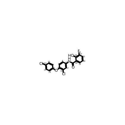 O=C(Nc1ccc(Oc2ccc(Cl)cc2)c(Cl)c1)c1cccc(F)c1O